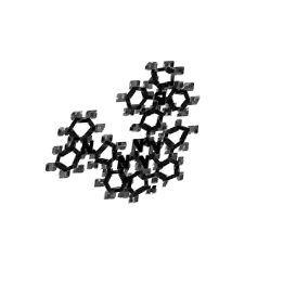 c1ccc(-c2cccc(-c3ccccc3)c2-c2nc(-c3ccc([Si](c4ccccc4)(c4ccccc4)c4ccccc4)cc3)nc(-n3c4ccccc4c4cc(-n5c6ccccc6c6ccccc65)ccc43)n2)cc1